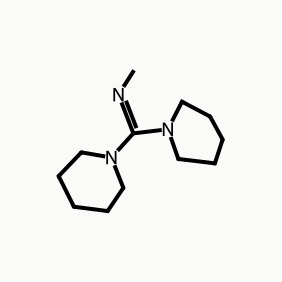 CN=C(N1CCCCC1)N1CCCCC1